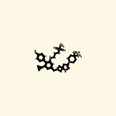 CC1(C(=O)O)CCN(C2=NOC3(C2)CN(Cc2cc(OCCCS(C)(=O)=O)c(-c4ccc(F)cc4)c(C4CC4)c2)C3)CC1